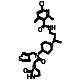 Cc1cc(Cl)nc(C)c1C(=O)NCCC(C)N1CCC(N(Cc2ccsc2)C(=O)CN2CCNC2=O)CC1